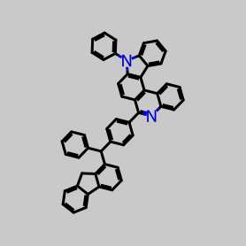 c1ccc(C(c2ccc(-c3nc4ccccc4c4c3ccc3c4c4ccccc4n3-c3ccccc3)cc2)c2cccc3c2Cc2ccccc2-3)cc1